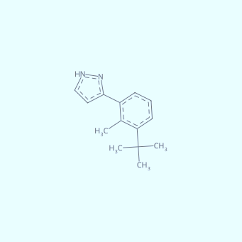 Cc1c(-c2cc[nH]n2)cccc1C(C)(C)C